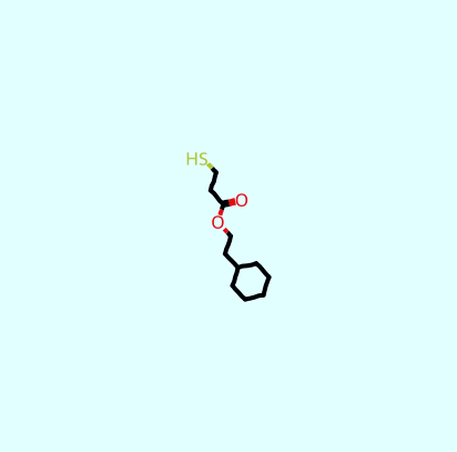 O=C(CCS)OCCC1CCCCC1